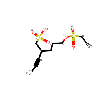 CC#CC(CCCOS(=O)(=O)CC)CS(=O)(=O)O